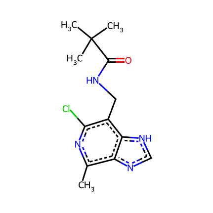 Cc1nc(Cl)c(CNC(=O)C(C)(C)C)c2[nH]cnc12